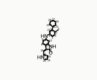 Cc1ccc(Nc2ccc3c(c2)NC(=O)C3=Cc2ccc[nH]2)cc1-c1c[c]ccc1